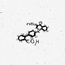 CCCCc1cn(Cc2ccc(-c3ccccc3C(=O)O)cc2)c2ccccc2c1=O